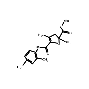 CC1=C(C(=O)Nc2ccc(C)cc2C)SC(N)(C(=O)OC(C)(C)C)C1